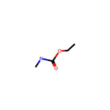 CCOC(=O)[N]C